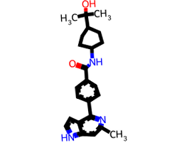 Cc1cc2[nH]ccc2c(-c2ccc(C(=O)NC3CCC(C(C)(C)O)CC3)cc2)n1